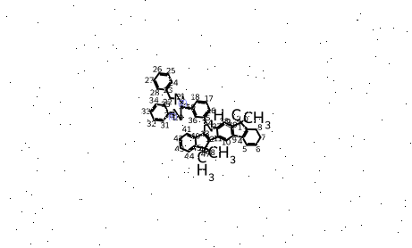 CC1(C)C2=C(C=CCC2)c2cc3c4c(n(-c5cccc(C(=N/Cc6ccccc6)/N=C6/C=CC=CC6)c5)c3cc21)-c1ccccc1C4(C)C